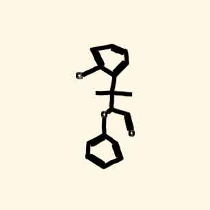 CC(C)(c1ccccc1Cl)C(C=O)Oc1ccccc1